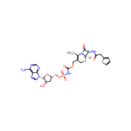 Nc1ncnc2c1ncn2[C@@H]1O[C@H](COS(=O)(=O)NC(=O)OCC2=C(C(=O)O)N3C(=O)[C@@H](NC(=O)Cc4cccs4)[C@H]3SC2)C[C@H]1O